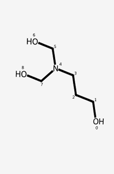 OCCCN(CO)CO